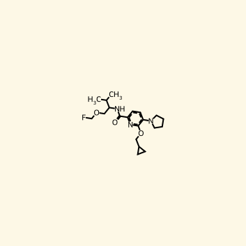 CC(C)C(COCF)NC(=O)c1ccc(N2CCCC2)c(OCC2CC2)n1